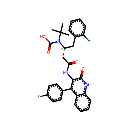 CC(C)(C)N(C(=O)O)[C@@H](CC(=O)Nc1c(-c2ccc(F)cc2)c2ccccc2[nH]c1=O)Cc1ccccc1F